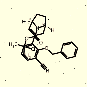 CC(C)(C)OC(=O)N1[C@H]2CC[C@@H]1C=C(c1cccc(C#N)c1OCc1ccccc1)C2